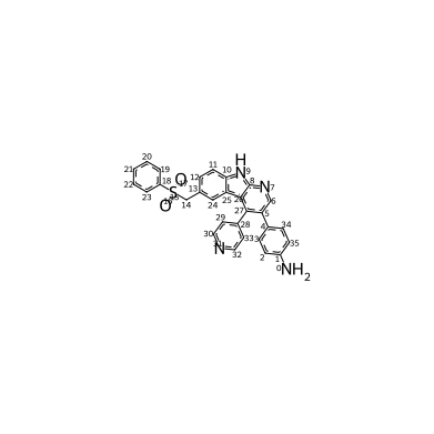 Nc1ccc(-c2cnc3[nH]c4ccc(CS(=O)(=O)c5ccccc5)cc4c3c2-c2ccncc2)cc1